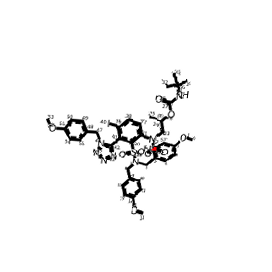 COc1ccc(CN(Cc2ccc(OC)cc2)S(=O)(=O)c2c(N(C[C@@H](C)OC(=O)NC(C)(C)C)[SH](=O)=O)ccc(I)c2-c2nnnn2Cc2ccc(OC)cc2)cc1